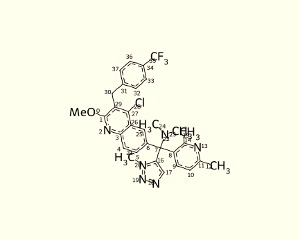 COc1nc2ccc(C(c3ccc(C)nc3C)(c3cnnn3C)N(C)C)cc2c(Cl)c1Cc1ccc(C(F)(F)F)cc1